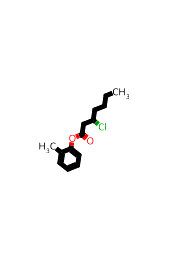 CCCCC(Cl)CC(=O)Oc1ccccc1C